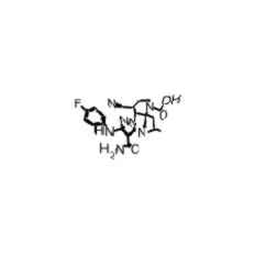 CC(C)CC1(C#N)C(n2cc(C(N)=O)c(Nc3ccc(F)cc3)n2)C(C#N)CCN1C(=O)O